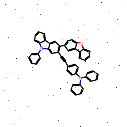 C(#Cc1cc2c(cc1-c1ccc3oc4ccccc4c3c1)c1ccccc1n2-c1ccccc1)c1ccc(N(c2ccccc2)c2ccccc2)cc1